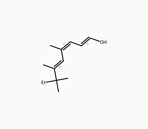 CCC(C)(C)/C(C)=C/C(C)=C\C=C\O